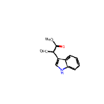 COC(=O)C(C=O)c1c[nH]c2ccccc12